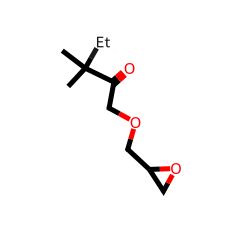 CCC(C)(C)C(=O)COCC1CO1